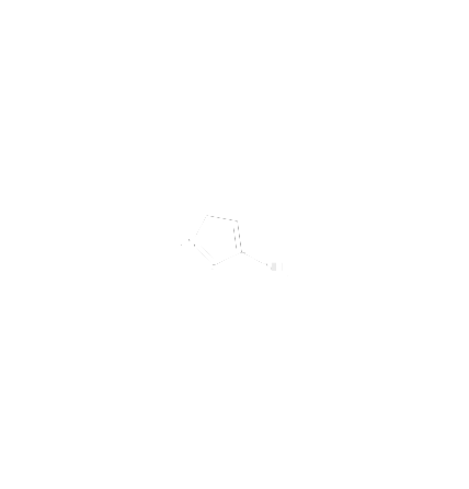 NC1=CCN=C1